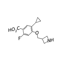 O=C(O)c1cc(C2CC2)c(OCC2CNC2)cc1F